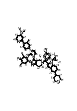 Cc1cc(-n2ccn(-c3c4c(nn3-c3cc(C)c(F)c(C)c3)CCN(C(O)c3cc5cc(C6CCOCC6)ccc5n3[C@@]3(c5noc(=O)[nH]5)C[C@@H]3C)[C@H]4C)c2=O)ccc1-c1cc(N(C)C)ccn1